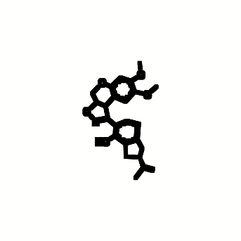 C=C(C)[C@@H]1Cc2ccc(C3=NOC4COc5cc(OC)c(OC)cc5C34)c(O)c2C1